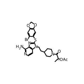 CC(=O)O[C@@H](C)C(=O)N1CCC(CCn2c(Sc3cc4c(cc3Br)OCO4)nc3c(N)nccc32)CC1